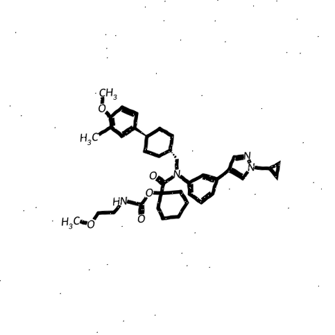 COCCNC(=O)OC1(C(=O)N(C[C@H]2CC[C@H](c3ccc(OC)c(C)c3)CC2)c2cccc(-c3cnn(C4CC4)c3)c2)CCCCC1